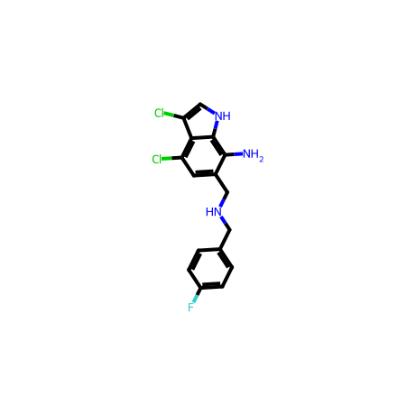 Nc1c(CNCc2ccc(F)cc2)cc(Cl)c2c(Cl)c[nH]c12